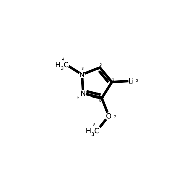 [Li][c]1cn(C)nc1OC